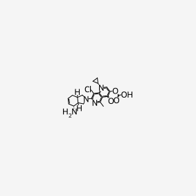 Cc1nc(N2C[C@H]3CC=C[C@@H](N)[C@H]3C2)c(Cl)c2c1c(=O)c(OC(=O)O)cn2C1CC1